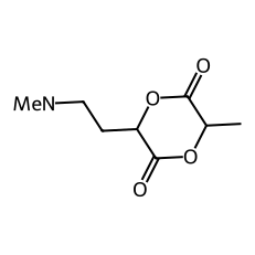 CNCCC1OC(=O)C(C)OC1=O